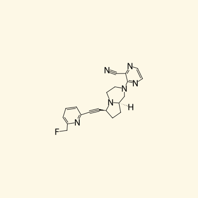 N#Cc1nccnc1N1CCN2[C@H](CC[C@H]2C#Cc2cccc(CF)n2)C1